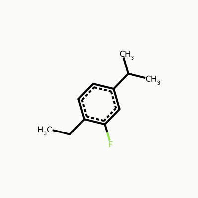 CCc1ccc(C(C)C)cc1F